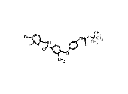 CC(C)(C)OC(=O)Nc1ccc(Oc2ccc(C(=O)Nc3ccc(Br)c(F)c3)cc2N)cc1